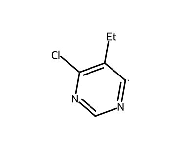 CCc1[c]ncnc1Cl